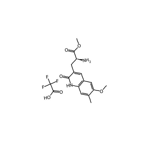 COC(=O)[C@@H](N)Cc1cc2cc(OC)c(C)cc2[nH]c1=O.O=C(O)C(F)(F)F